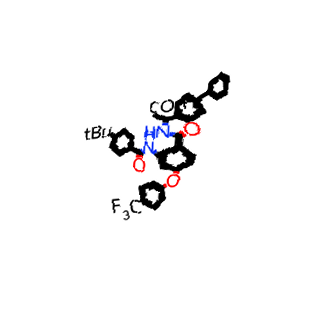 CC(C)(C)c1ccc(C(=O)Nc2cc(Oc3ccc(C(F)(F)F)cc3)ccc2C(=O)NC(CC(=O)O)c2ccc(-c3ccccc3)cc2)cc1